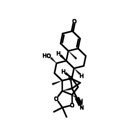 CC1(C)O[C@@H]2C[C@H]3[C@@H]4CCC5=CC(=O)C=C[C@]5(C)[C@H]4[C@@H](O)C[C@]3(C)[C@]2(C2(C#N)CO2)O1